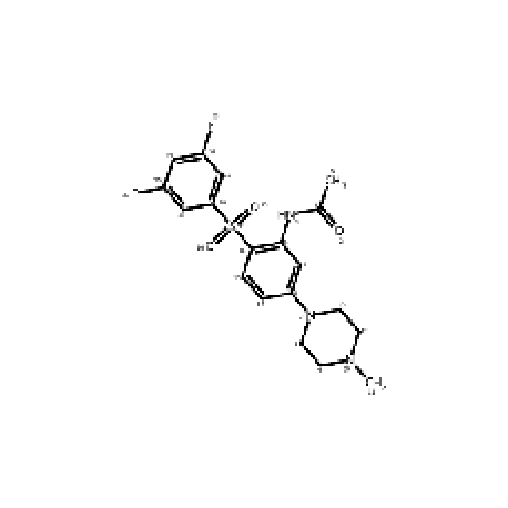 CC(=O)Nc1cc(N2CCN(C)CC2)ccc1S(=O)(=O)c1cc(F)cc(F)c1